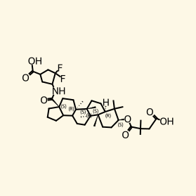 CC(C)(CC(=O)O)C(=O)O[C@H]1CC[C@@]2(C)[C@@H](CC[C@]3(C)[C@]2(C)CCC2C4CCC[C@]4(C(=O)NC4CC(C(=O)O)CC4(F)F)CC[C@]23C)C1(C)C